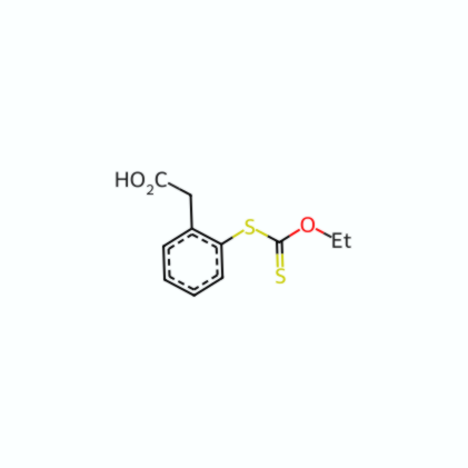 CCOC(=S)Sc1ccccc1CC(=O)O